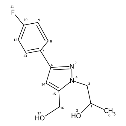 CC(O)Cn1nc(-c2ccc(F)cc2)cc1CO